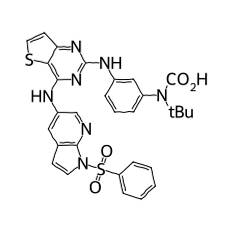 CC(C)(C)N(C(=O)O)c1cccc(Nc2nc(Nc3cnc4c(ccn4S(=O)(=O)c4ccccc4)c3)c3sccc3n2)c1